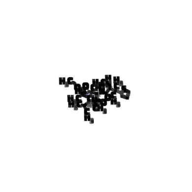 CCOC(=O)/C(C)=C/[C@H](C(C)C)N(C)C(=O)[C@@H](NC(=O)[C@H](NC)C(C)(C)c1cccs1)C(C)(C)C